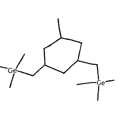 CC1CC([CH2][Ge]([CH3])([CH3])[CH3])CC([CH2][Ge]([CH3])([CH3])[CH3])C1